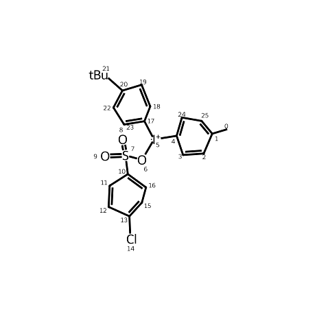 Cc1ccc([I+](OS(=O)(=O)c2ccc(Cl)cc2)c2ccc(C(C)(C)C)cc2)cc1